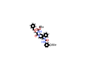 COc1cccc(NC(=O)N2CC3(CCN(C(=O)[C@@H](COCc4ccccc4)NC(=O)OC(C)(C)C)CC3)c3ccccc32)c1